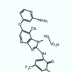 CC(=O)Nc1cc(Oc2cnc3nc(Nc4cc(C(F)(F)F)cn(C)c4=O)n(C)c3c2C#N)ccn1.O=S(=O)(O)O